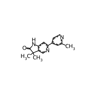 Cc1cc(-c2cc3c(cn2)C(C)(C)C(=O)N3)ccn1